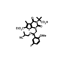 CCOC(=O)c1sc2c(c1C)c(=O)n(C(C)(C)C(=O)O)c(=O)n2C[C@H](OCC(C)C#N)c1cc(F)ccc1OC